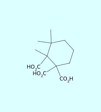 CC1(C)CCCC(C(=O)O)(C(=O)O)C1(C)C(=O)O